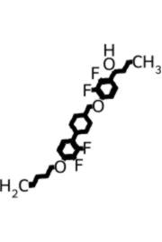 C=CCCCOc1ccc(C2CCC(COc3ccc(C(O)CCC)c(F)c3F)CC2)c(F)c1F